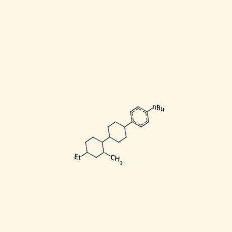 CCCCc1ccc(C2CCC(C3CCC(CC)CC3C)CC2)cc1